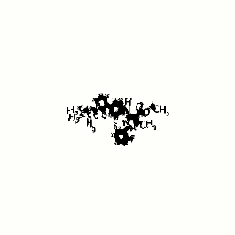 CCOC(=O)c1c(C)nc(-c2c(F)cccc2F)nc1Nc1ccc(C2CCCN(C(=O)OC(C)(C)C)C2=O)cc1